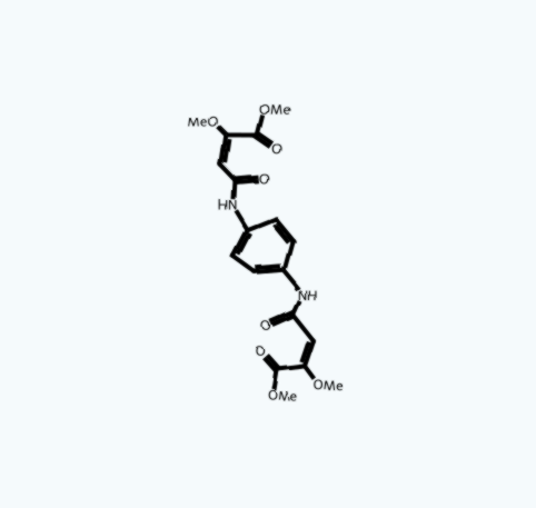 COC(=O)/C(=C\C(=O)Nc1ccc(NC(=O)/C=C(/OC)C(=O)OC)cc1)OC